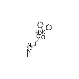 CC(NC(=O)OCCCc1c[nH]cn1)(c1ccccc1)c1ccccc1